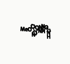 COc1ccccc1-c1cnccc1C(=O)Nc1nnc(OC2CCNC2)s1